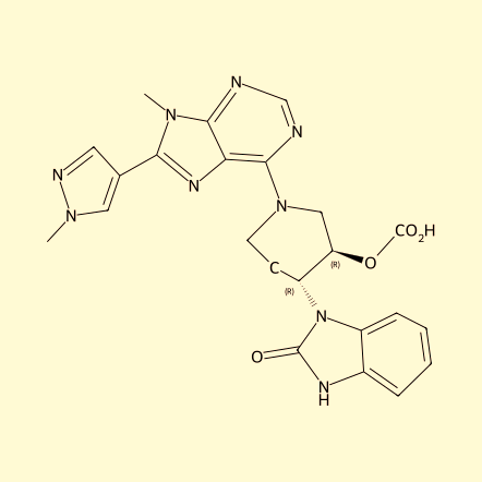 Cn1cc(-c2nc3c(N4CC[C@@H](n5c(=O)[nH]c6ccccc65)[C@H](OC(=O)O)C4)ncnc3n2C)cn1